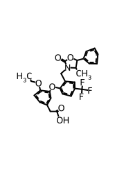 CCOc1ccc(CC(=O)O)cc1Oc1ccc(C(F)(F)F)cc1CN1C(=O)OC(c2ccccc2)C1C